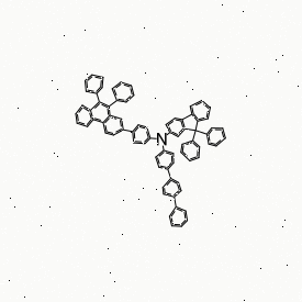 c1ccc(-c2ccc(-c3ccc(N(c4ccc(-c5ccc6c(c5)c(-c5ccccc5)c(-c5ccccc5)c5ccccc56)cc4)c4ccc5c(c4)C(c4ccccc4)(c4ccccc4)c4ccccc4-5)cc3)cc2)cc1